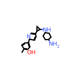 Cc1ccc(-c2ccc(C3CC3NC3CCC(N)CC3)cn2)cc1O